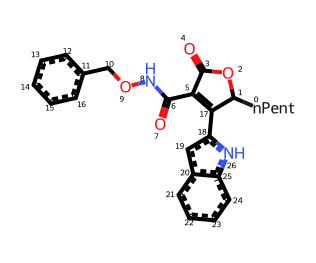 CCCCCC1OC(=O)C(C(=O)NOCc2ccccc2)=C1c1cc2ccccc2[nH]1